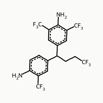 Nc1ccc(C(CCC(F)(F)F)c2cc(C(F)(F)F)c(N)c(C(F)(F)F)c2)cc1C(F)(F)F